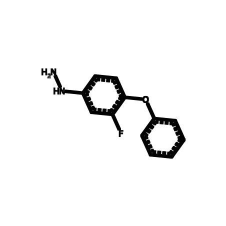 NNc1ccc(Oc2ccccc2)c(F)c1